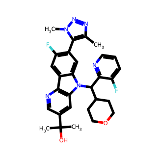 Cc1nnn(C)c1-c1cc2c(cc1F)c1ncc(C(C)(C)O)cc1n2C(c1ncccc1F)C1CCOCC1